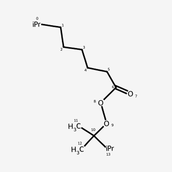 CC(C)CCCCCC(=O)OOC(C)(C)C(C)C